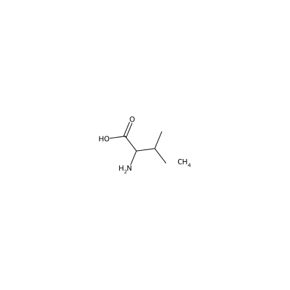 C.CC(C)C(N)C(=O)O